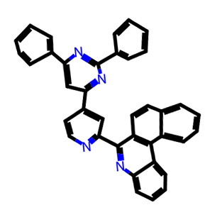 c1ccc(-c2cc(-c3ccnc(-c4nc5ccccc5c5c4ccc4ccccc45)c3)nc(-c3ccccc3)n2)cc1